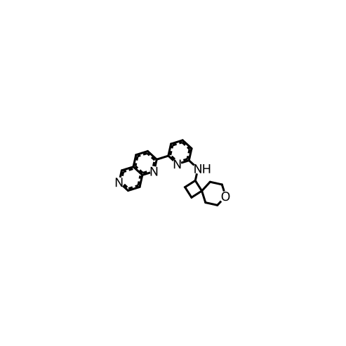 c1cc(NC2CCC23CCOCC3)nc(-c2ccc3cnccc3n2)c1